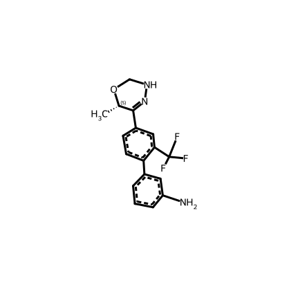 C[C@@H]1OCNN=C1c1ccc(-c2cccc(N)c2)c(C(F)(F)F)c1